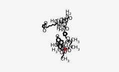 CCCC1O[C@H]2C[C@H]3[C@@H]4CCC5=CC(=O)C=C[C@]5(C)[C@H]4[C@@H](O)C[C@]3(C)[C@]2(C(=O)COC(=O)N(C)CCN(C)C(=O)OCc2ccc(NC(=O)[C@H](CCCNC(N)=O)NC(=O)[C@@H](NC(=O)CCCCCN3C(=O)C=CC3=O)C(C)C)cc2)O1